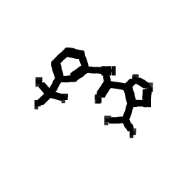 FC(F)c1nnsc1C(=S)Nc1cccc(C(F)(F)F)c1